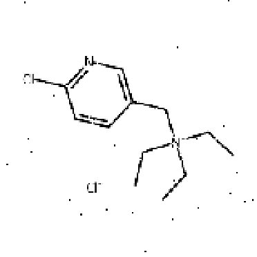 CC[N+](CC)(CC)Cc1ccc(Cl)nc1.[Cl-]